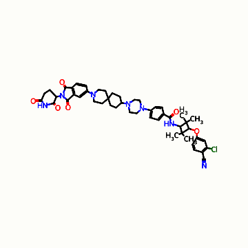 CC1(C)C(NC(=O)c2ccc(N3CCN(C4CCC5(CC4)CCN(c4ccc6c(c4)C(=O)N(C4CCC(=O)NC4=O)C6=O)CC5)CC3)cc2)C(C)(C)C1Oc1ccc(C#N)c(Cl)c1